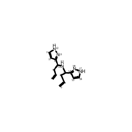 C=CCC(NC(CC=C)c1cc[nH]n1)c1cc[nH]n1